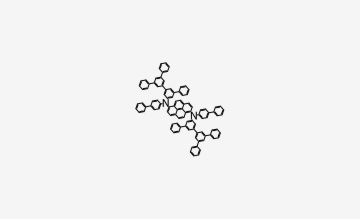 c1ccc(-c2ccc(N(c3cc(-c4ccccc4)cc(-c4cc(-c5ccccc5)cc(-c5ccccc5)c4)c3)c3ccc4ccc5c(N(c6ccc(-c7ccccc7)cc6)c6cc(-c7ccccc7)cc(-c7cc(-c8ccccc8)cc(-c8ccccc8)c7)c6)ccc6ccc3c4c65)cc2)cc1